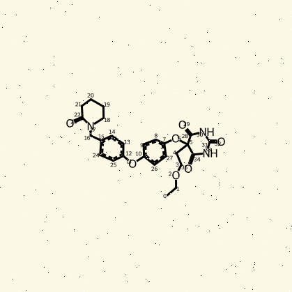 CCOCCC1(Oc2ccc(Oc3ccc(CN4CCCCC4=O)cc3)cc2)C(=O)NC(=O)NC1=O